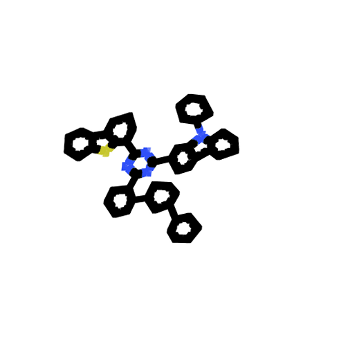 c1ccc(-c2cccc(-c3ccccc3-c3nc(-c4ccc5c6ccccc6n(-c6ccccc6)c5c4)nc(-c4cccc5c4sc4ccccc45)n3)c2)cc1